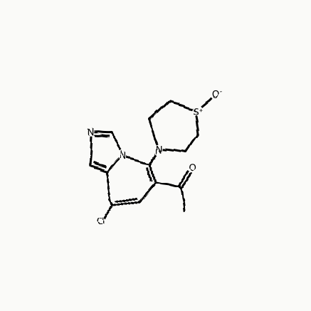 CC(=O)c1cc(Cl)c2cncn2c1N1CC[S+]([O-])CC1